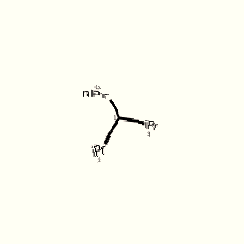 CCC[C](C(C)C)C(C)C